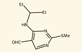 CCC(CC)Nc1nc(SC)ncc1C=O